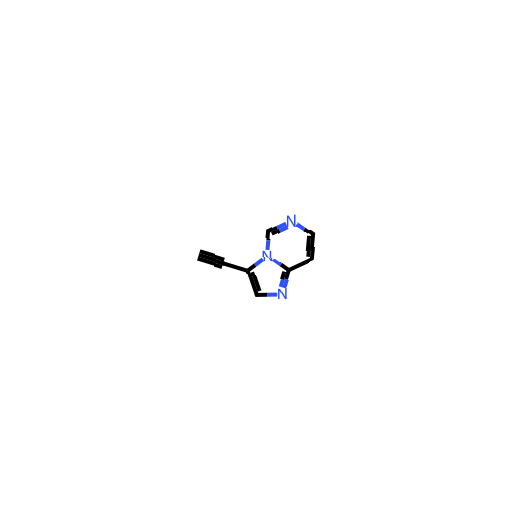 C#Cc1cnc2ccncn12